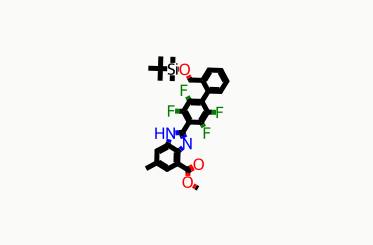 COC(=O)c1cc(C)cc2[nH]c(-c3c(F)c(F)c(-c4ccccc4CO[Si](C)(C)C(C)(C)C)c(F)c3F)nc12